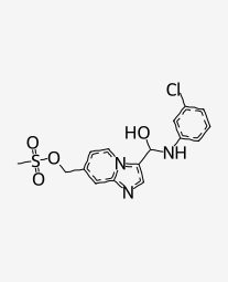 CS(=O)(=O)OCc1ccn2c(C(O)Nc3cccc(Cl)c3)cnc2c1